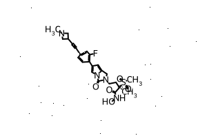 CN1CC(C#Cc2ccc(-c3cc4n(c3)C(=O)N(CC[C@](C)(C(=O)NO)S(C)(=O)=O)C4)c(F)c2)C1